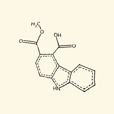 COC(=O)c1ccc2[nH]c3ccccc3c2c1C(=O)O